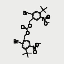 CC(C)(C)c1cc(Br)c(COC(=O)OCc2cc([N+](=O)[O-])c(C(C)(C)C)cc2Br)cc1[N+](=O)[O-]